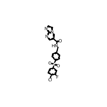 O=C(NCc1ccc(S(=O)(=O)c2ccc(Cl)c(F)c2)cc1)c1cnc2nccn2c1